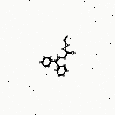 CCOOC(=O)CN=C(c1ccccc1)c1ccccc1